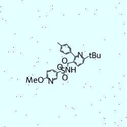 COc1ccc(S(=O)(=O)NC(=O)c2ccc(C(C)(C)C)nc2-c2ccc(C)cc2)cn1